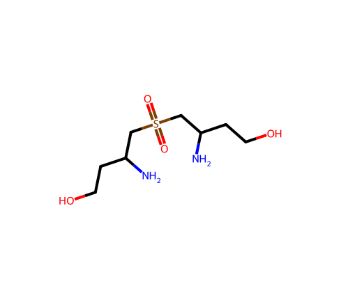 NC(CCO)CS(=O)(=O)CC(N)CCO